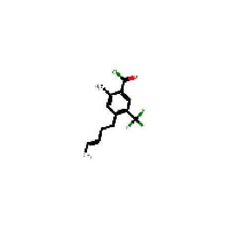 CC=CCCc1cc(C)c(C(=O)Cl)cc1C(F)(F)F